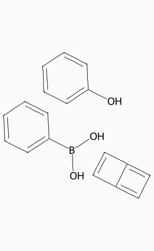 OB(O)c1ccccc1.Oc1ccccc1.c1cc2ccc1-2